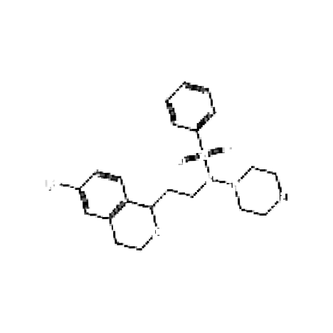 Cc1ccc2c(c1)CCOC2CCN(N1CCNCC1)S(=O)(=O)c1ccccc1